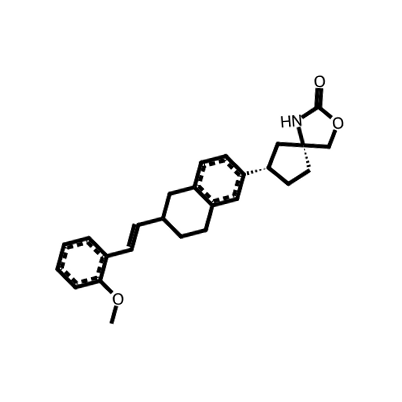 COc1ccccc1/C=C/C1CCc2cc([C@H]3CC[C@]4(COC(=O)N4)C3)ccc2C1